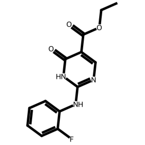 CCOC(=O)c1cnc(Nc2ccccc2F)[nH]c1=O